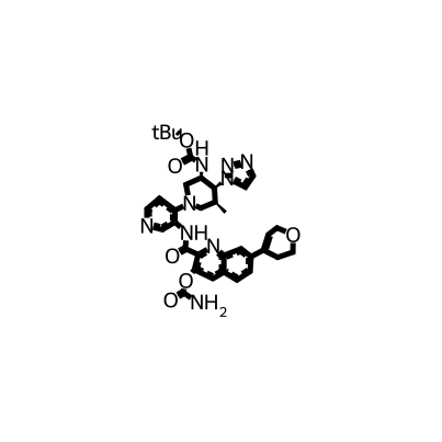 C[C@H]1CN(c2ccncc2NC(=O)c2nc3cc(C4=CCOCC4)ccc3cc2OC(N)=O)C[C@@H](NC(=O)OC(C)(C)C)[C@H]1n1ccnn1